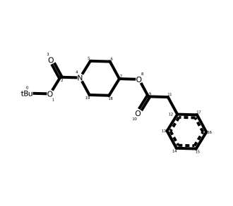 CC(C)(C)OC(=O)N1CCC(OC(=O)Cc2ccccc2)CC1